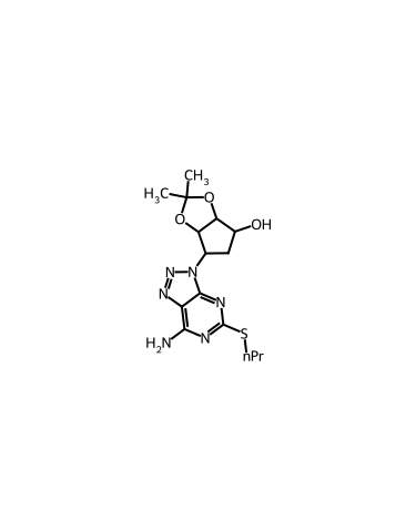 CCCSc1nc(N)c2nnn(C3CC(O)C4OC(C)(C)OC43)c2n1